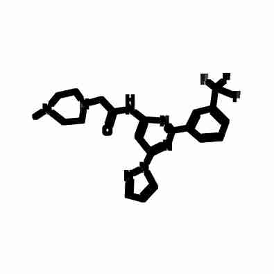 CN1CCN(CC(=O)Nc2cc(-n3cccn3)nc(-c3cccc(C(F)(F)F)c3)n2)CC1